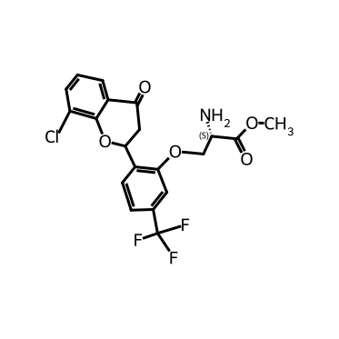 COC(=O)[C@@H](N)COc1cc(C(F)(F)F)ccc1C1CC(=O)c2cccc(Cl)c2O1